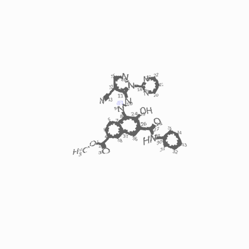 COC(=O)c1ccc2c(/N=N/c3c(C#N)cnn3-c3ncccn3)c(O)c(C(=O)Nc3ccccc3)cc2c1